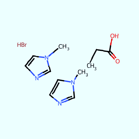 Br.CCC(=O)O.Cn1ccnc1.Cn1ccnc1